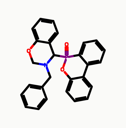 O=P1(C2c3ccccc3OCN2Cc2ccccc2)Oc2ccccc2-c2ccccc21